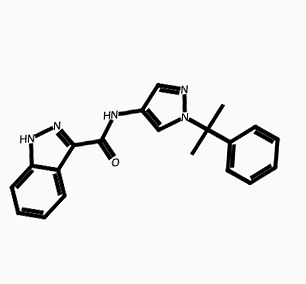 CC(C)(c1ccccc1)n1cc(NC(=O)c2n[nH]c3ccccc23)cn1